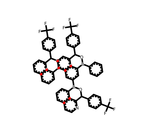 FC(F)(F)c1ccc(C(OB(c2ccccc2)c2cc(B(OC(c3ccc(C(F)(F)F)cc3)c3ccccn3)c3ccccc3)cc(B(OC(c3ccc(C(F)(F)F)cc3)c3ccccn3)c3ccccc3)c2)c2ccccn2)cc1